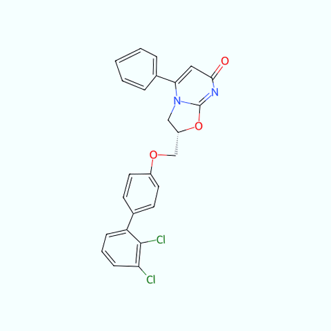 O=c1cc(-c2ccccc2)n2c(n1)O[C@H](COc1ccc(-c3cccc(Cl)c3Cl)cc1)C2